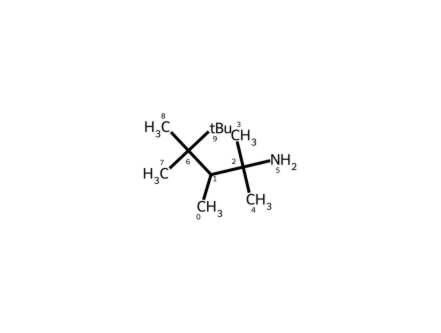 CC(C(C)(C)N)C(C)(C)C(C)(C)C